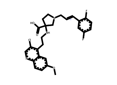 COc1ccc2ncc(Cl)c(CCNC3(C(=O)O)CCN(C/C=C/c4cc(F)ccc4F)C3)c2c1